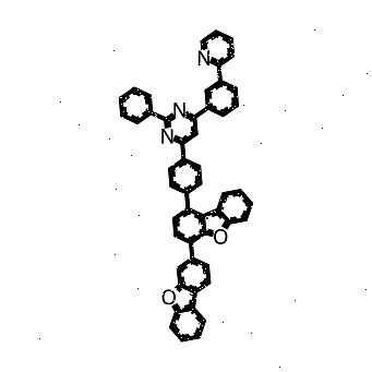 c1ccc(-c2nc(-c3ccc(-c4ccc(-c5ccc6c(c5)oc5ccccc56)c5oc6ccccc6c45)cc3)cc(-c3cccc(-c4ccccn4)c3)n2)cc1